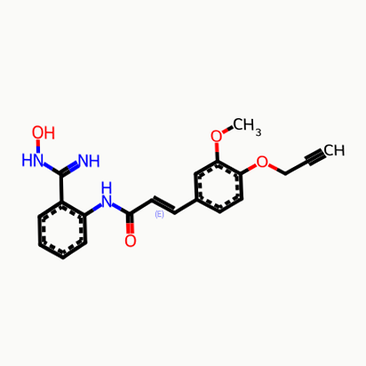 C#CCOc1ccc(/C=C/C(=O)Nc2ccccc2C(=N)NO)cc1OC